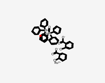 O=C([O-])c1ccccc1Cl.O=C([O-])c1ccccc1Cl.O=C([PH](c1ccccc1)(c1ccccc1)c1ccccc1)[PH](c1ccccc1)(c1ccccc1)c1ccccc1.[Ru+2]